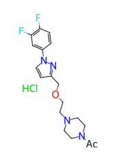 CC(=O)N1CCN(CCOCc2ccn(-c3ccc(F)c(F)c3)n2)CC1.Cl